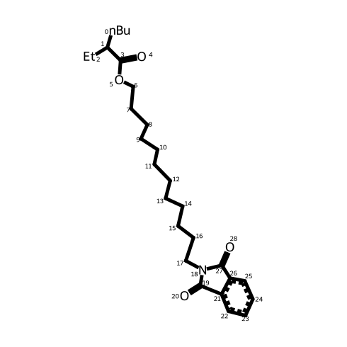 CCCCC(CC)C(=O)OCCCCCCCCCCCCN1C(=O)c2ccccc2C1=O